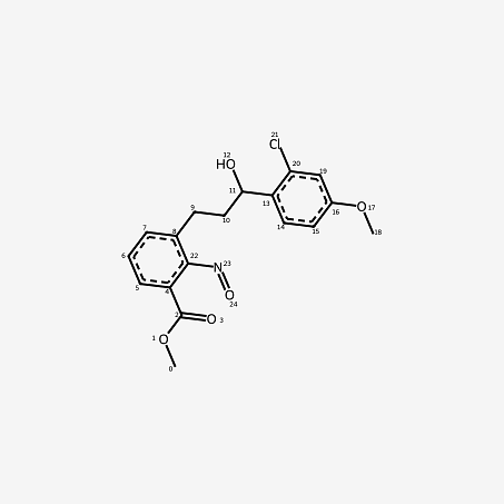 COC(=O)c1cccc(CCC(O)c2ccc(OC)cc2Cl)c1N=O